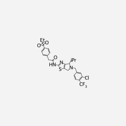 CCS(=O)(=O)c1ccc(CC(=O)Nc2nc3c(s2)CN(Cc2ccc(C(F)(F)F)c(Cl)c2)C3C(C)C)cc1